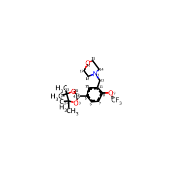 CC1(C)OB(c2ccc(OC(F)(F)F)c(CN3CCOCC3)c2)OC1(C)C